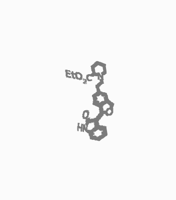 CCOC(=O)C1CCCCN1CCc1ccc2c(c1)COC2=C1C(=O)Nc2ccccc21